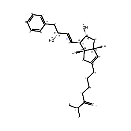 CN(C)C(=O)CCCCC1=C[C@H]2C[C@@H](O)[C@H](/C=C/[C@H](O)Cc3ccccc3)[C@H]2C1